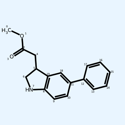 COC(=O)CC1CNc2ccc(-c3ccccc3)cc21